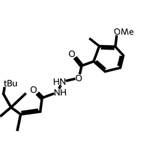 COc1cccc(C(=O)ONNC(=O)C=C(C)C(C)(C)CC(C)(C)C)c1C